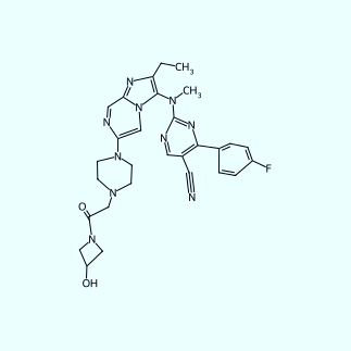 CCc1nc2cnc(N3CCN(CC(=O)N4CC(O)C4)CC3)cn2c1N(C)c1ncc(C#N)c(-c2ccc(F)cc2)n1